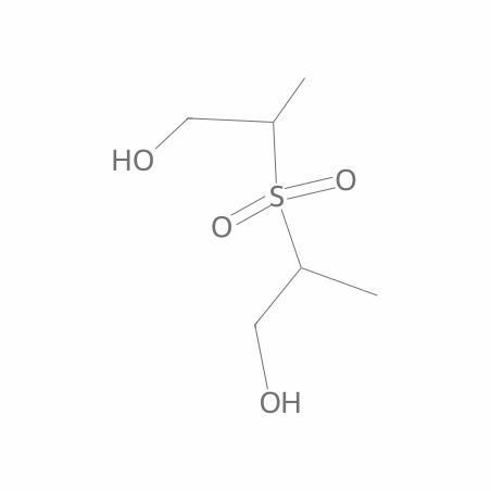 CC(CO)S(=O)(=O)C(C)CO